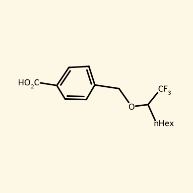 CCCCCCC(OCc1ccc(C(=O)O)cc1)C(F)(F)F